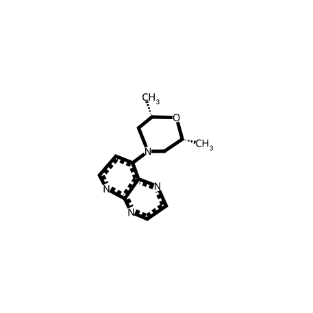 C[C@@H]1CN(c2ccnc3nccnc23)C[C@H](C)O1